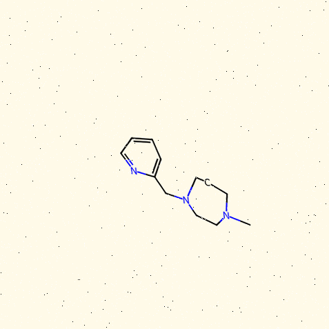 CN1CCCN(Cc2ccccn2)CC1